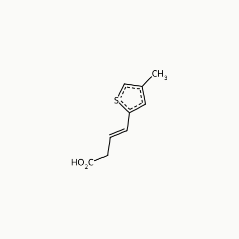 Cc1csc(C=CCC(=O)O)c1